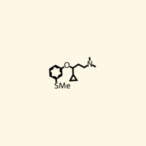 CSc1cccc(OC(CCN(C)C)C2CC2)c1